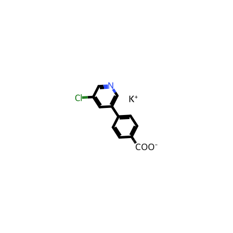 O=C([O-])c1ccc(-c2cncc(Cl)c2)cc1.[K+]